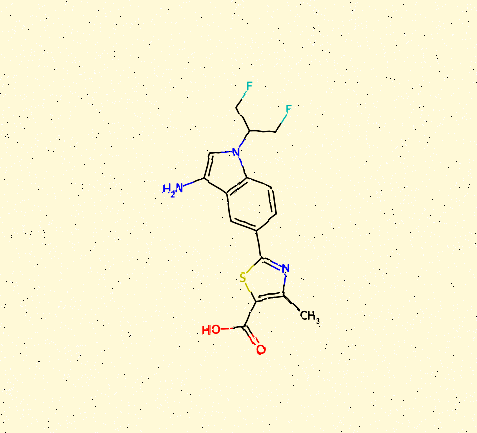 Cc1nc(-c2ccc3c(c2)c(N)cn3C(CF)CF)sc1C(=O)O